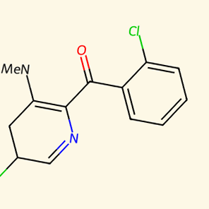 CNC1=C(C(=O)c2ccccc2Cl)N=CC(Cl)C1